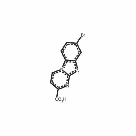 O=C(O)c1ccn2c(n1)nc1cc(Br)ccc12